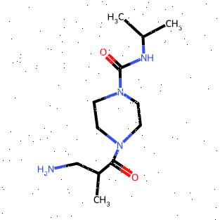 CC(C)NC(=O)N1CCN(C(=O)C(C)CN)CC1